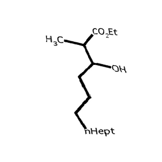 CCCCCCCCCCC(O)C(C)C(=O)OCC